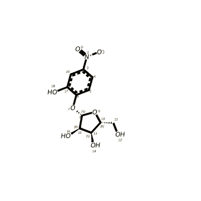 O=[N+]([O-])c1ccc(O[C@@H]2O[C@H](CO)[C@@H](O)[C@H]2O)c(O)c1